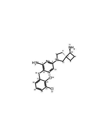 Nc1nc(N2CC[C@]3(CC[C@@H]3N)C2)cnc1Sc1cccc(Cl)c1Cl